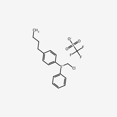 CCCCc1ccc([S+](CCl)c2ccccc2)cc1.O=S(=O)([O-])C(F)(F)F